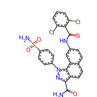 NC(=O)c1nn(-c2ccc(S(N)(=O)=O)cc2)c2c1ccc1ccc(NC(=O)c3c(Cl)cccc3Cl)cc12